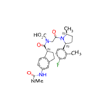 CNC(=O)Nc1ccc2c(c1)CC[C@@H]2C(=O)N(CC(=O)N1[C@@H](C)CC[C@H]1c1ccc(F)cc1C)C(=O)O